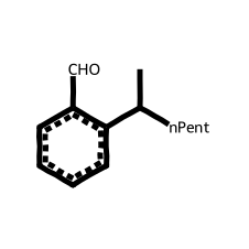 CCCCCC(C)c1ccccc1C=O